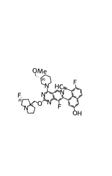 C#Cc1c(F)ccc2cc(O)cc(-c3ncc4c(N5CCC[C@@H](COC)C5)nc(OC[C@@]56CCCN5C[C@H](F)C6)nc4c3F)c12